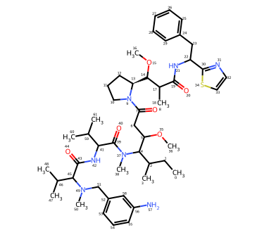 CCC(C)C(C(CC(=O)N1CCC[C@H]1C(OC)C(C)C(=O)NC(Cc1ccccc1)c1nccs1)OC)N(C)C(=O)C(NC(=O)C(C(C)C)N(C)Cc1cccc(N)c1)C(C)C